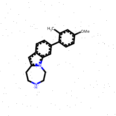 COc1ccc(-c2ccc3cc4n(c3c2)CCNCC4)c(C)c1